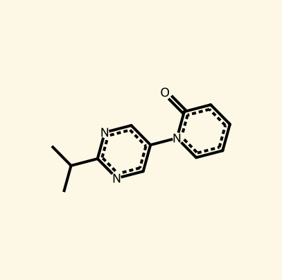 CC(C)c1ncc(-n2ccccc2=O)cn1